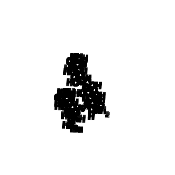 CN(C)[C@@H]1C(O)=C(C(N)=O)C(=O)[C@@]2(O)C(O)=C3C(=O)c4c(O)cccc4[C@@](C)(O)[C@H]3C[C@@H]12.CN(C)c1cc(NC(=O)CNC(C)(C)C)c(O)c2c1C[C@H]1C[C@H]3[C@H](N(C)C)C(O)=C(C(N)=O)C(=O)[C@@]3(O)C(O)=C1C2=O.CN(C)c1ccc(O)c2c1C[C@H]1C[C@H]3[C@H](N(C)C)C(O)=C(C(N)=O)C(=O)[C@@]3(O)C(O)=C1C2=O